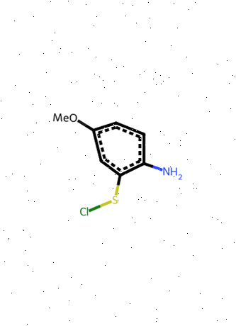 COc1ccc(N)c(SCl)c1